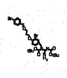 CC(C)(C)OC(=O)N=C(N)N(Cc1ccc(OCCCOSc2ccc(Br)cc2)c(Br)c1)C(=O)OC(C)(C)C